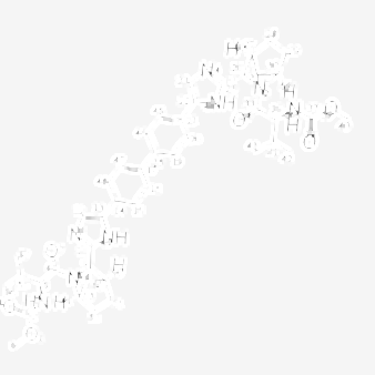 COC(=O)N[C@H](C(=O)N1C(c2ncc(-c3ccc(-c4ccc(-c5cnc([C@@H]6[C@H]7CC[C@H](C7)N6C(=O)[C@@H](NC(=O)OC)C(C)C)[nH]5)cc4)cc3)[nH]2)[C@H]2CC[C@@H]1C2)C(C)C